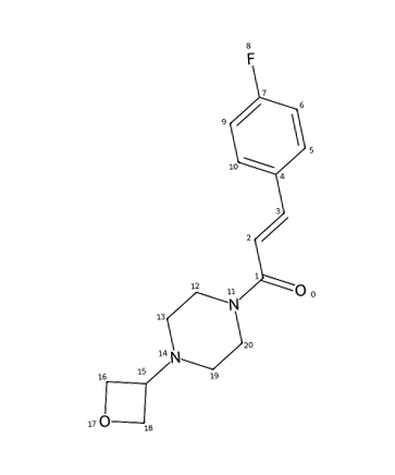 O=C(/C=C/c1ccc(F)cc1)N1CCN(C2COC2)CC1